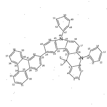 CC1(C)c2ccccc2N(c2ccccc2)c2ccc3c(c21)c1cc(-c2ccc4c5ccccc5c5ccccc5c4c2)ccc1n3-c1ccccc1